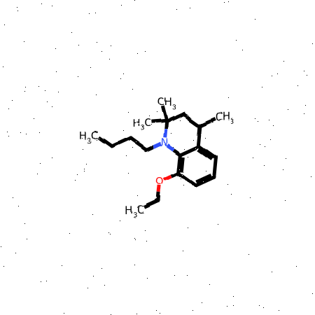 CCCCN1c2c(OCC)cccc2C(C)CC1(C)C